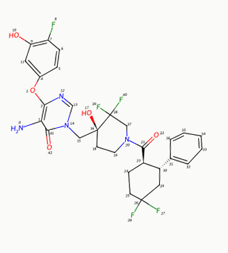 Nc1c(Oc2ccc(F)c(O)c2)ncn(C[C@@]2(O)CCN(C(=O)[C@@H]3CCC(F)(F)C[C@H]3c3ccccc3)CC2(F)F)c1=O